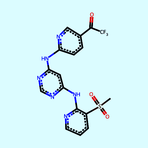 CS(=O)(=O)c1cccnc1Nc1cc(Nc2ccc(C(=O)C(F)(F)F)cn2)ncn1